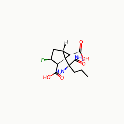 CCC[C@@](N)(C(N)=O)[C@@]12C(C(=O)O)[C@@H](F)C[C@@H]1[C@@H]2C(=O)O